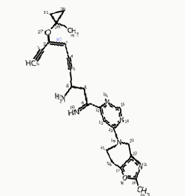 C#C/C(=C\C#CC(N)CC(=N)c1cc(N2CCc3oc(C)nc3C2)ncn1)OC1(C)CC1